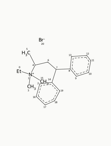 CC[N+](C)(C)C(C)CC(c1ccccc1)c1ccccc1.[Br-]